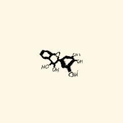 Oc1cc(C2Oc3ccccc3C(O)C2O)cc(O)c1O